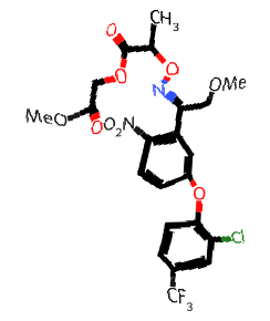 COCC(=NOC(C)C(=O)OCC(=O)OC)c1cc(Oc2ccc(C(F)(F)F)cc2Cl)ccc1[N+](=O)[O-]